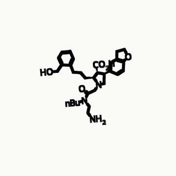 CCCCN(CCN)C(=O)CN1C[C@H](c2ccc3c(c2)CCO3)[C@@H](C(=O)O)[C@@H]1CCCc1ccccc1CO